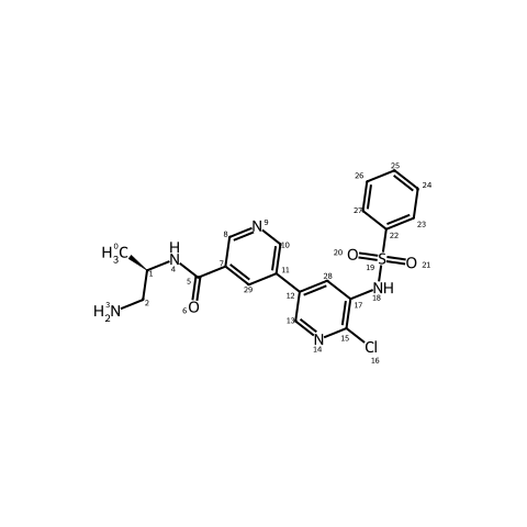 C[C@H](CN)NC(=O)c1cncc(-c2cnc(Cl)c(NS(=O)(=O)c3ccccc3)c2)c1